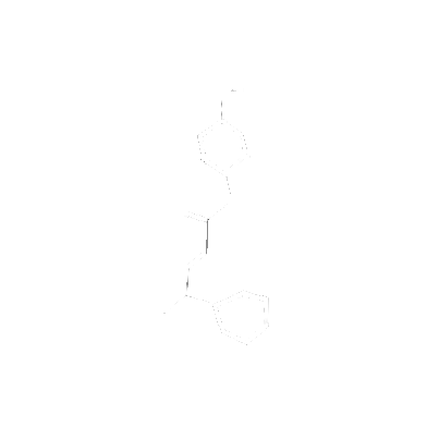 CCCCCc1cnc(OC(=O)/C=C/C(CCCC)c2ccccc2)nc1